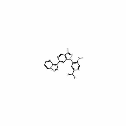 COc1ccc(C(F)F)cc1-n1nc(C)c2cnc(-c3cnn4cccnc34)cc21